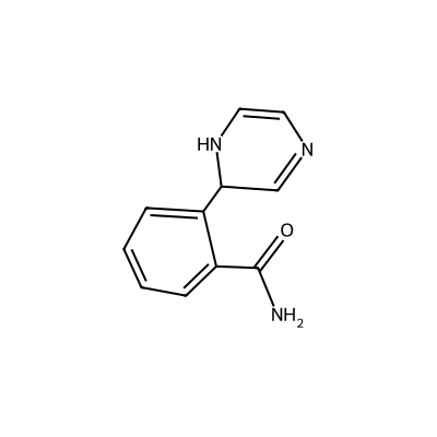 NC(=O)c1ccccc1C1C=NC=CN1